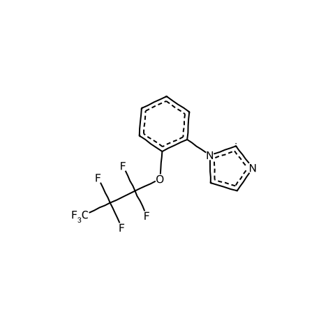 FC(F)(F)C(F)(F)C(F)(F)Oc1ccccc1-n1[c]ncc1